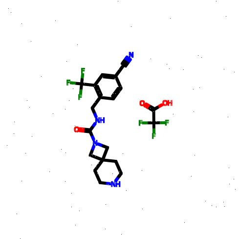 N#Cc1ccc(CNC(=O)N2CC3(CCNCC3)C2)c(C(F)(F)F)c1.O=C(O)C(F)(F)F